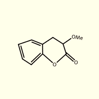 COC1Cc2ccccc2OC1=O